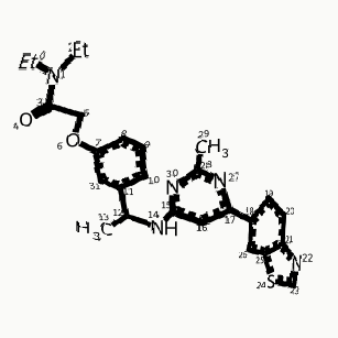 CCN(CC)C(=O)COc1cccc(C(C)Nc2cc(-c3ccc4ncsc4c3)nc(C)n2)c1